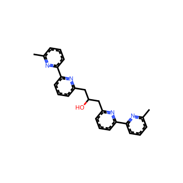 Cc1cccc(-c2cccc(CC(O)Cc3cccc(-c4cccc(C)n4)n3)n2)n1